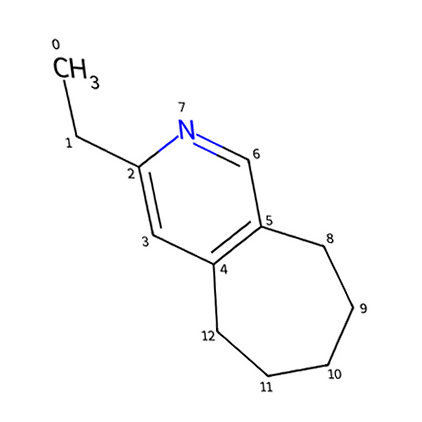 CCc1cc2c(cn1)CCCCC2